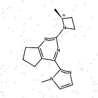 C[C@H]1CCN1c1nc2c(c(-c3nccn3C)n1)CCC2